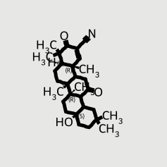 CC1(C)CC[C@]2(O)CC[C@]3(C)C(C(=O)CC4[C@@]5(C)C=C(C#N)C(=O)C(C)(C)[C@@H]5CC[C@]43C)C2C1